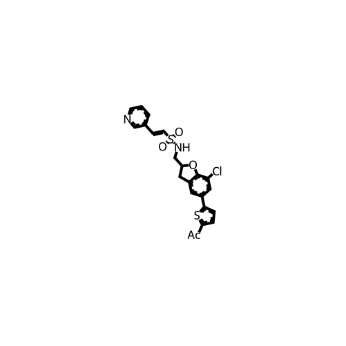 CC(=O)c1ccc(-c2cc(Cl)c3c(c2)CC(CNS(=O)(=O)C=Cc2cccnc2)O3)s1